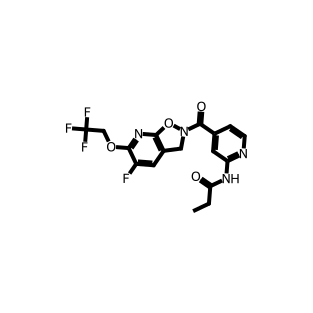 CCC(=O)Nc1cc(C(=O)N2Cc3cc(F)c(OCC(F)(F)F)nc3O2)ccn1